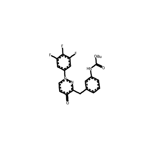 CC(C)COC(=O)Nc1cccc(Cc2nn(-c3cc(F)c(F)c(F)c3)ccc2=O)c1